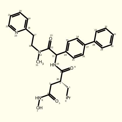 CC(C)C[C@H](CC(=O)NO)C(=O)NC(C(=O)N(C)CCc1ccccn1)c1ccc(-c2ccccc2)cc1